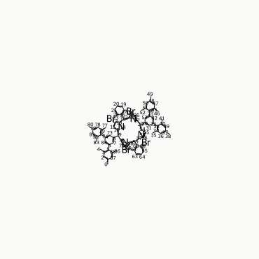 Cc1cc(C)c(-c2cc(C3=C4C=CC(=N4)C(c4c(Br)cccc4Br)=C4C=CC(=N4)C(c4cc(-c5c(C)cc(C)cc5C)cc(-c5c(C)cc(C)cc5C)c4)=C4C=CC(=N4)C(c4c(Br)cccc4Br)=C4C=CC3=N4)cc(-c3c(C)cc(C)cc3C)c2)c(C)c1